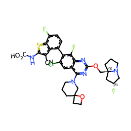 N#Cc1c(NC(=O)O)sc2c(F)ccc(-c3c(Cl)cc4c(N5CCCC6(CCO6)C5)nc(OC[C@@]56CCCN5C[C@H](F)C6)nc4c3F)c12